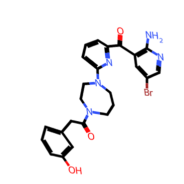 Nc1ncc(Br)cc1C(=O)c1cccc(N2CCCN(C(=O)Cc3cccc(O)c3)CC2)n1